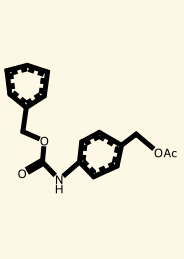 CC(=O)OCc1ccc(NC(=O)OCc2ccccc2)cc1